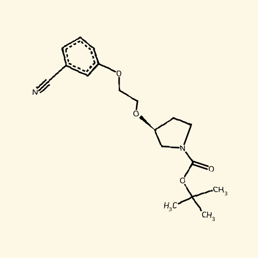 CC(C)(C)OC(=O)N1CC[C@H](OCCOc2cccc(C#N)c2)C1